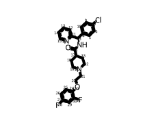 O=C(N[C@H](c1ccc(Cl)cc1)c1ccccn1)C1CCN(CCOc2ccc(F)cc2F)CC1